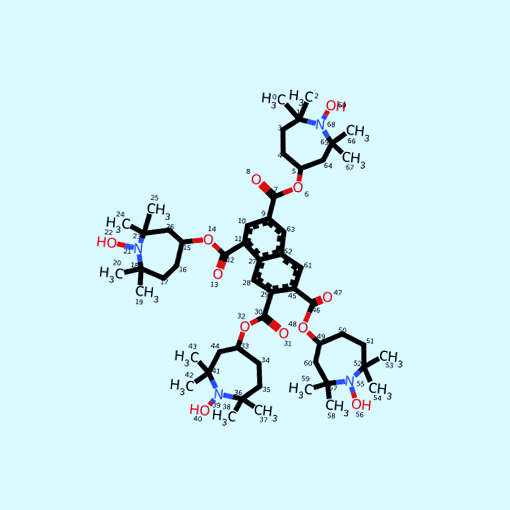 CC1(C)CCC(OC(=O)c2cc(C(=O)OC3CCC(C)(C)N(O)C(C)(C)C3)c3cc(C(=O)OC4CCC(C)(C)N(O)C(C)(C)C4)c(C(=O)OC4CCC(C)(C)N(O)C(C)(C)C4)cc3c2)CC(C)(C)N1O